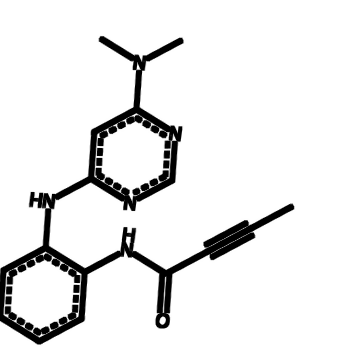 CC#CC(=O)Nc1ccccc1Nc1cc(N(C)C)ncn1